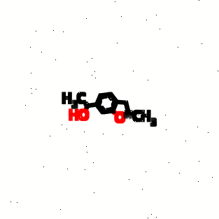 CC(O)c1ccc2c(c1)O[C@H](C)C2